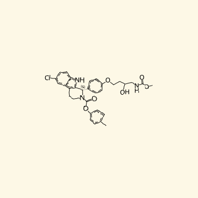 COC(=O)NCC(O)CCOc1ccc([C@H]2c3[nH]c4ccc(Cl)cc4c3CCN2C(=O)Oc2ccc(C)cc2)cc1